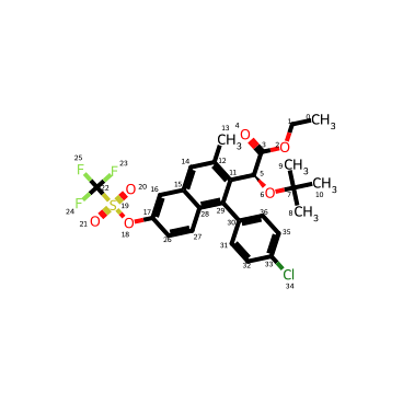 CCOC(=O)[C@@H](OC(C)(C)C)c1c(C)cc2cc(OS(=O)(=O)C(F)(F)F)ccc2c1-c1ccc(Cl)cc1